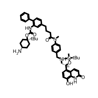 CN(C(=O)CCCc1ccc(-c2ccccc2)c(NC(=O)O[C@]2(C(C)(C)C)CC[C@@H](N)CC2)c1)c1ccc(CNC[C@H](O[Si](C)(C)C(C)(C)C)c2ccc(O)c3[nH]c(=O)ccc23)cc1